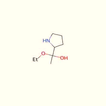 CCOC(C)(O)C1CCCN1